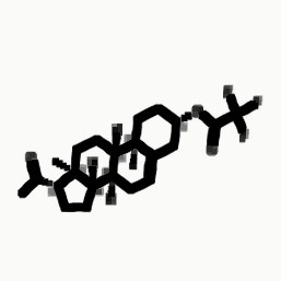 CC(=O)[C@H]1CC[C@H]2[C@@H]3CC=C4C[C@@H](OC(=O)C(F)(F)F)CC[C@]4(C)[C@H]3CC[C@]12C